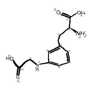 N[C@@H](Cc1cccc(NCC(=O)O)c1)C(=O)O